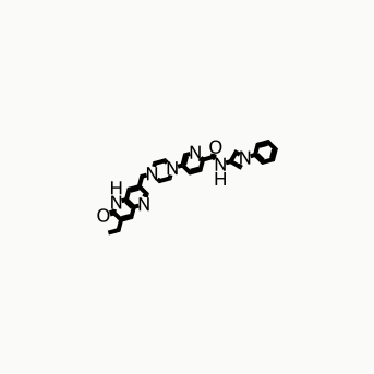 CCc1cc2ncc(CN3CCN(c4ccc(C(=O)NC5CN(c6ccccc6)C5)nc4)CC3)cc2[nH]c1=O